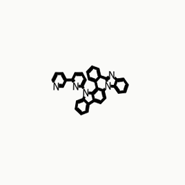 c1cncc(-c2cccc(-n3c4ccccc4c4ccc5c(c6ccccc6c6nc7ccccc7n56)c43)n2)c1